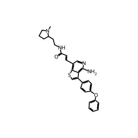 CN1CCCC1CCNC(=O)C=Cc1cnc(N)c2c(-c3ccc(Oc4ccccc4)cc3)csc12